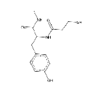 CNC(=O)C(Cc1ccc(O)cc1)NC(=O)CCS